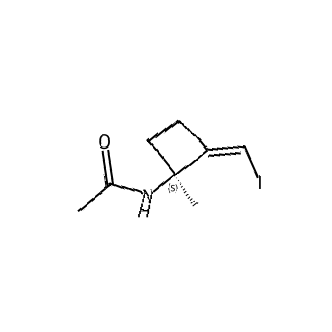 CC(=O)N[C@@]1(C)CCC1=CI